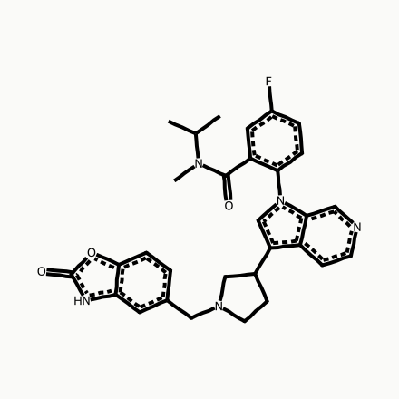 CC(C)N(C)C(=O)c1cc(F)ccc1-n1cc(C2CCN(Cc3ccc4oc(=O)[nH]c4c3)C2)c2ccncc21